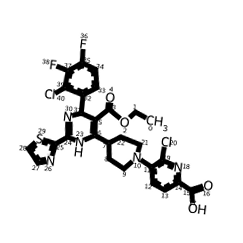 CCOC(=O)C1=C(C2CCN(c3ccc(C(=O)O)nc3Cl)CC2)NC(c2nccs2)=NC1c1ccc(F)c(F)c1Cl